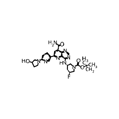 CC(C)(C)OC(=O)N1C[C@@H](F)C[C@H](Nc2ncnc3c(C(N)=O)cc(-c4ccc(N5CCC(O)C5)nc4)nc23)C1